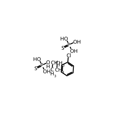 CC.CC.Clc1ccccc1.OP(O)(O)=S.OP(O)(O)=S